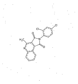 Cc1nc2ccccc2c2c1C(=O)N(c1ccc(Cl)cc1Cl)C2=O